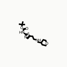 CC(C)(C)OC(=O)Nc1ncc(CCNCC2CCOCC2)s1